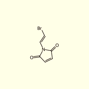 O=C1C=CC(=O)N1C=CBr